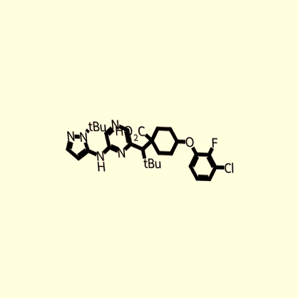 CC(C)(C)C(c1cncc(Nc2ccnn2C(C)(C)C)n1)C1(C(=O)O)CCC(Oc2cccc(Cl)c2F)CC1